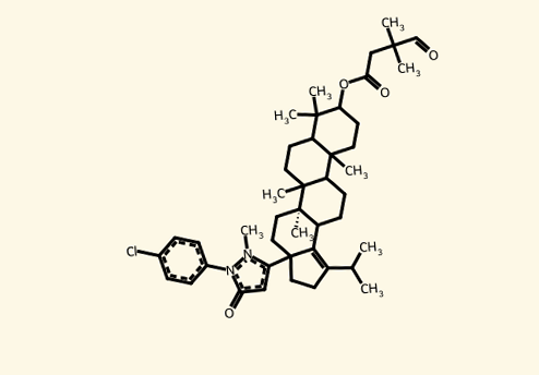 CC(C)C1=C2C3CCC4C5(C)CCC(OC(=O)CC(C)(C)C=O)C(C)(C)C5CCC4(C)[C@]3(C)CCC2(c2cc(=O)n(-c3ccc(Cl)cc3)n2C)CC1